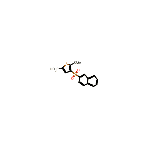 CSc1sc(C(=O)O)cc1S(=O)(=O)c1ccc2ccccc2c1